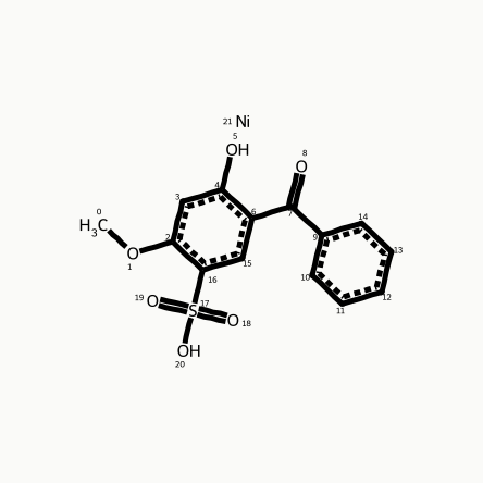 COc1cc(O)c(C(=O)c2ccccc2)cc1S(=O)(=O)O.[Ni]